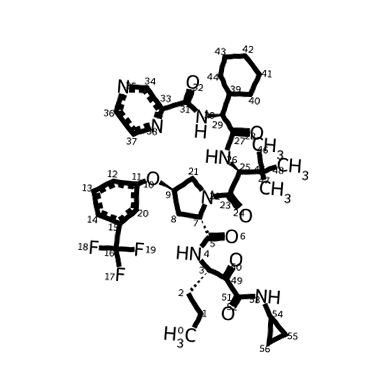 CCC[C@H](NC(=O)[C@@H]1C[C@@H](Oc2cccc(C(F)(F)F)c2)CN1C(=O)[C@@H](NC(=O)[C@@H](NC(=O)c1cnccn1)C1CCCCC1)C(C)(C)C)C(=O)C(=O)NC1CC1